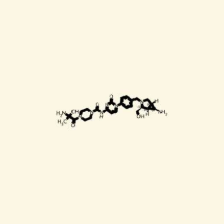 CC(C)(N)C(=O)N1CCN(C(=O)Nc2ccn(-c3ccc(CN4C[C@@H]5[C@@H](N)[C@@H]5[C@H]4CO)cc3)c(=O)n2)CC1